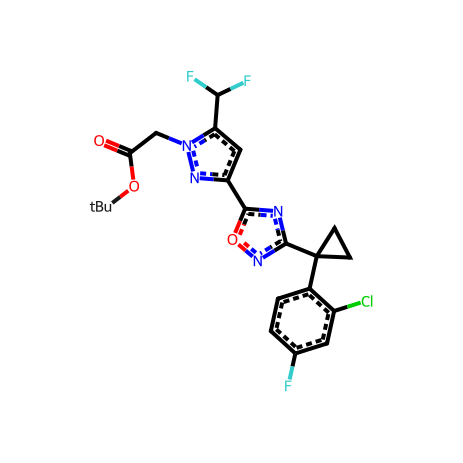 CC(C)(C)OC(=O)Cn1nc(-c2nc(C3(c4ccc(F)cc4Cl)CC3)no2)cc1C(F)F